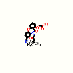 CC(C)(C)CC(=O)CN1C(=O)c2c(OCC(=O)O)cccc2Oc2ccc(C#N)cc21